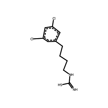 N=C(S)NCCCCc1cc(Cl)cc(Cl)c1